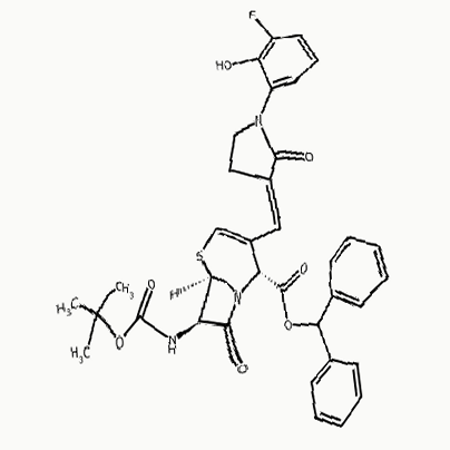 CC(C)(C)OC(=O)N[C@@H]1C(=O)N2[C@@H](C(=O)OC(c3ccccc3)c3ccccc3)C(C=C3CCN(c4cccc(F)c4O)C3=O)=CS[C@H]12